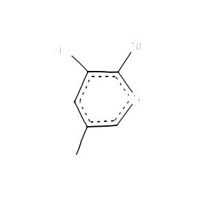 Nc1ncc(I)cc1O